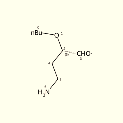 CCCCO[C@H]([C]=O)CCN